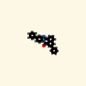 O=c1c2cc(-c3ccccc3)cc3cccc(c32)c2nc3cc(-c4ccccc4)ccc3n12